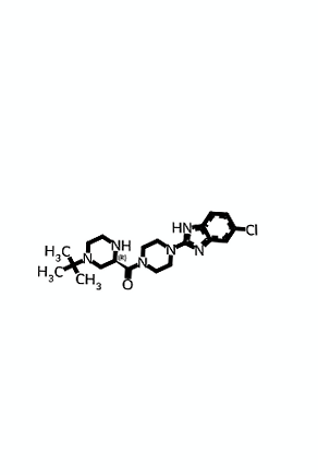 CC(C)(C)N1CCN[C@@H](C(=O)N2CCN(c3nc4cc(Cl)ccc4[nH]3)CC2)C1